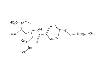 CC#CCOc1ccc(C(=O)NC2(CC(=O)NO)CCN(C(=O)O)C(C(C)(C)C)C2)cc1